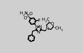 C[C@@H]1CN(Cc2nc(Cc3ccccc3)n(-c3ccc(S(N)(=O)=O)cc3F)n2)C[C@H](C)O1